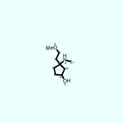 COCCC1(NI)CCC(O)C1